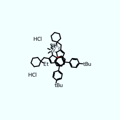 CCC1(CC2=Cc3c(-c4ccc(C(C)(C)C)cc4)cccc3[CH]2[Zr]([CH3])([CH3])(=[SiH2])[CH]2C(CC3(CC)CCCCC3)=Cc3c(-c4ccc(C(C)(C)C)cc4)cccc32)CCCCC1.Cl.Cl